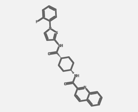 O=C(N[C@H]1CC[C@@H](C(=O)Nc2ccn(-c3ccccc3F)n2)CC1)c1ccc2ccccc2n1